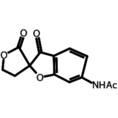 CC(=O)Nc1ccc2c(c1)OC1(CCOC1=O)C2=O